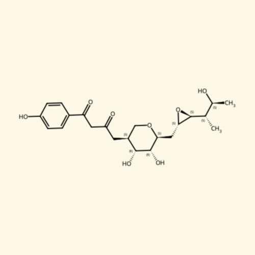 C[C@H]([C@@H]1O[C@H]1C[C@@H]1OC[C@H](CC(=O)CC(=O)c2ccc(O)cc2)[C@@H](O)[C@H]1O)[C@H](C)O